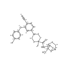 CC1(NC(=O)C2(F)CCN(c3ncc(C#N)c(Oc4ccc(F)cc4)n3)CC2)CN2CCC1CC2